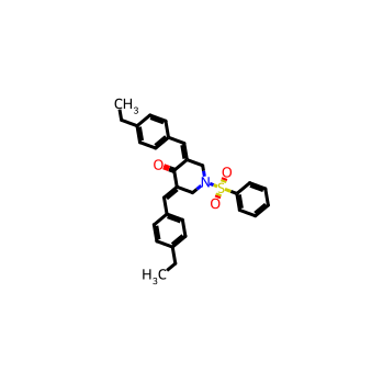 CCc1ccc(/C=C2/CN(S(=O)(=O)c3ccccc3)C/C(=C\c3ccc(CC)cc3)C2=O)cc1